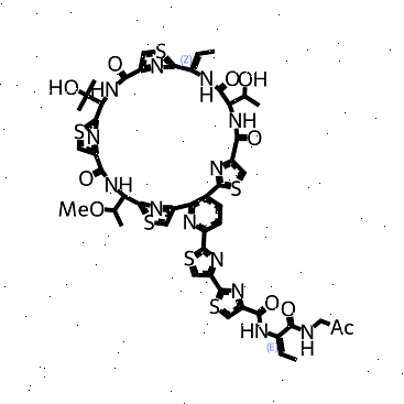 C/C=C1\NC(=O)C(C(C)O)NC(=O)c2csc(n2)-c2ccc(-c3nc(-c4nc(C(=O)N/C(=C/C)C(=O)NCC(C)=O)cs4)cs3)nc2-c2csc(n2)C(C(C)OC)NC(=O)c2csc(n2)C(C(C)(C)O)NC(=O)c2csc1n2